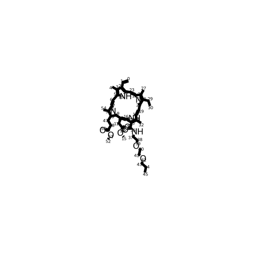 C=Cc1c(C)c2cc3nc(c(CC(=O)OC)c4[nH]c(cc5nc(cc1[nH]2)C(C)=C5CC)c(C)c4C(=O)NCCOCCOCCC)C(CCC(=O)OC)C3C